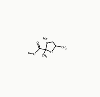 CC1COC(C)(C(=O)OF)O1.[Na]